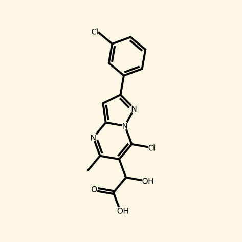 Cc1nc2cc(-c3cccc(Cl)c3)nn2c(Cl)c1C(O)C(=O)O